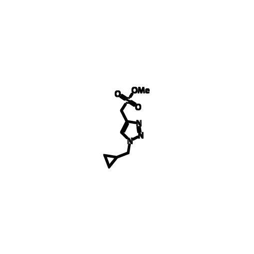 COS(=O)(=O)Cc1cn(CC2CC2)nn1